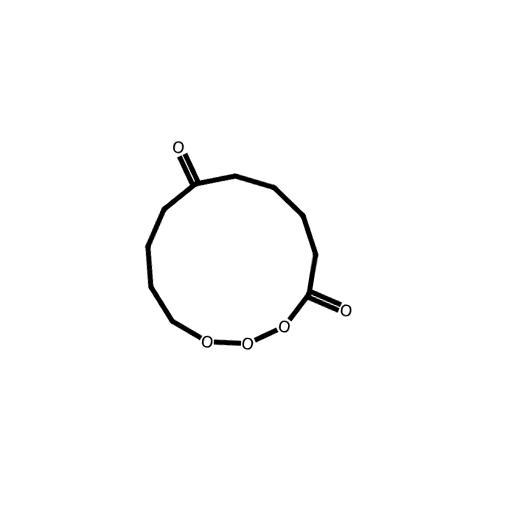 O=C1CCCCOOOC(=O)CCCC1